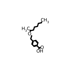 CCCCCCC(C)OCCc1ccc(C(=O)O)cc1